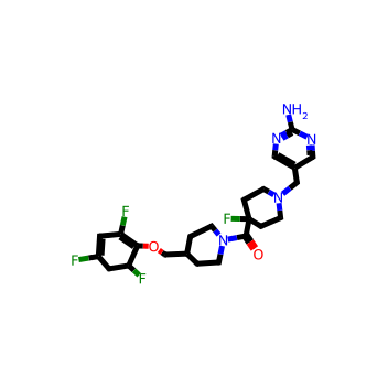 Nc1ncc(CN2CCC(F)(C(=O)N3CCC(COC4=C(F)C=C(F)CC4F)CC3)CC2)cn1